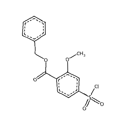 COc1cc(S(=O)(=O)Cl)ccc1C(=O)OCc1ccccc1